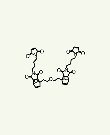 O=C1C=CC(=O)N1CCCCN1C(=O)C2C3C=CC(CCOCCC45C=CC(O4)C4C(=O)N(CCCCN6C(=O)C=CC6=O)C(=O)C45)(O3)C2C1=O